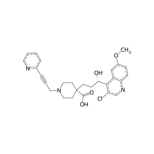 COc1ccc2ncc(Cl)c([C@@H](O)CCC3(C(=O)O)CCN(CC#Cc4ccccn4)CC3)c2c1